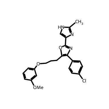 COc1cccc(OCCCc2oc(-c3c[nH]c(C)n3)nc2-c2ccc(Cl)cc2)c1